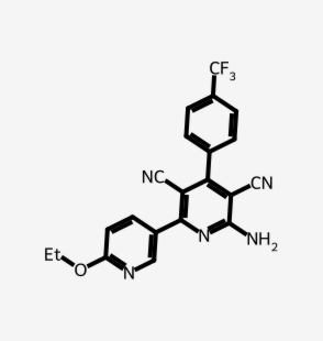 CCOc1ccc(-c2nc(N)c(C#N)c(-c3ccc(C(F)(F)F)cc3)c2C#N)cn1